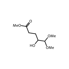 COC(=O)CCC(O)C(OC)OC